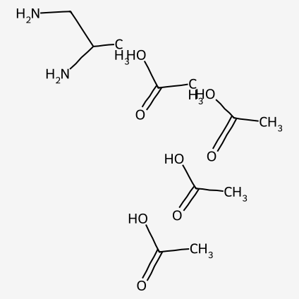 CC(=O)O.CC(=O)O.CC(=O)O.CC(=O)O.CC(N)CN